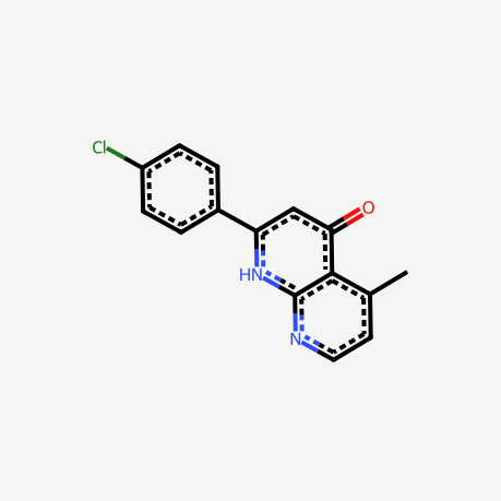 Cc1ccnc2[nH]c(-c3ccc(Cl)cc3)cc(=O)c12